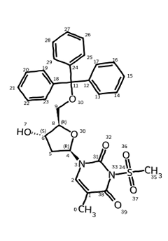 Cc1cn([C@H]2C[C@H](O)[C@@H](COC(c3ccccc3)(c3ccccc3)c3ccccc3)O2)c(=O)n(S(C)(=O)=O)c1=O